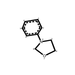 c1ccc(N2CCOC2)cc1